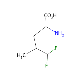 CC(CC(N)C(=O)O)C(F)F